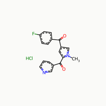 Cl.Cn1cc(C(=O)c2ccc(F)cc2)cc1C(=O)c1cccnc1